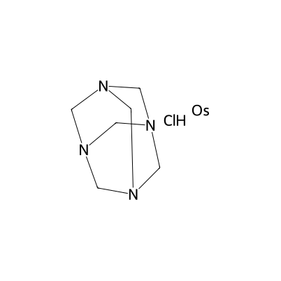 C1N2CN3CN1CN(C2)C3.Cl.[Os]